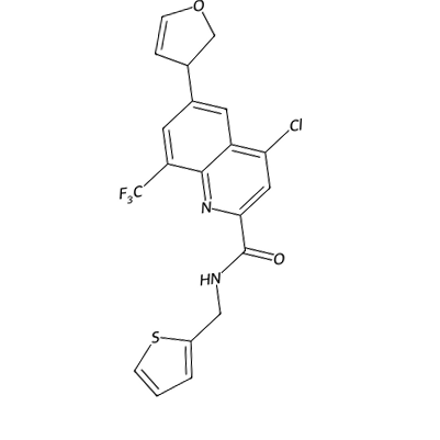 O=C(NCc1cccs1)c1cc(Cl)c2cc(C3C=COC3)cc(C(F)(F)F)c2n1